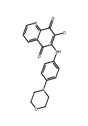 O=C1C(Nc2ccc(N3CCOCC3)cc2)=C(Cl)C(=O)c2ncccc21